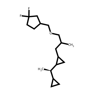 CC(COCC1CCC(F)(F)C1)CC1CC1[C@H](C)C1CC1